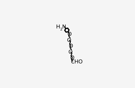 Nc1ccc(OCCOCCOCCOCCOCC=O)cc1